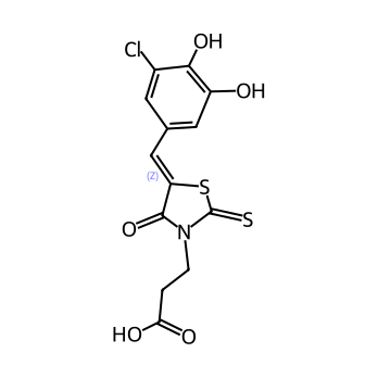 O=C(O)CCN1C(=O)/C(=C/c2cc(O)c(O)c(Cl)c2)SC1=S